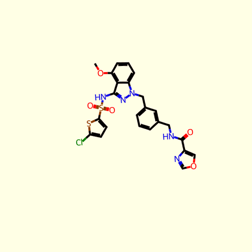 COc1cccc2c1c(NS(=O)(=O)c1ccc(Cl)s1)nn2Cc1cccc(CNC(=O)c2cocn2)c1